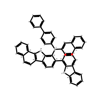 c1ccc(-c2ccc(N(c3ccc4ccccc4c3)c3c(-c4cccc5c4oc4ccccc45)ccc4c3oc3c5ccccc5ccc43)cc2)cc1